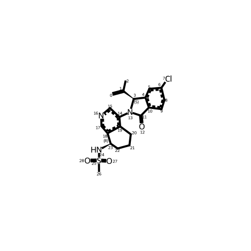 C=C(C)[C@H]1c2cc(Cl)ccc2C(=O)N1c1cncc2c1CCC[C@H]2NS(C)(=O)=O